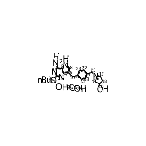 CCCCOc1nc(N)c2[nH]cc(Cc3ccc(CN4CCC(O)C4)cc3)c2n1.O=CO